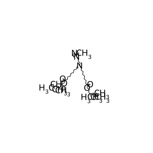 Cc1nccn1CCCN(CCCCCCCCC(=O)OCCC(C)CC(C)(C)C)CCCCCCCCC(=O)OCCC(C)CC(C)(C)C